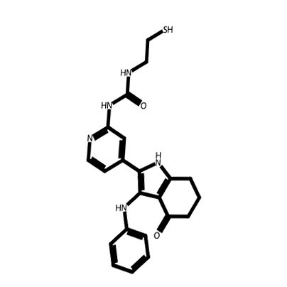 O=C(NCCS)Nc1cc(-c2[nH]c3c(c2Nc2ccccc2)C(=O)CCC3)ccn1